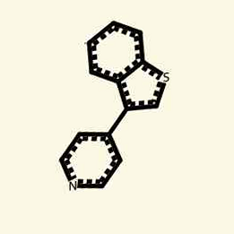 [c]1ccc2scc(-c3ccncc3)c2c1